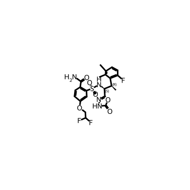 Cc1ccc(F)c([C@@H](C)[C@H](NS(=O)(=O)c2cc(OCC(F)F)ccc2C(N)=O)c2n[nH]c(=O)o2)c1C